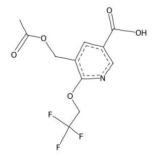 CC(=O)OCc1cc(C(=O)O)cnc1OCC(F)(F)F